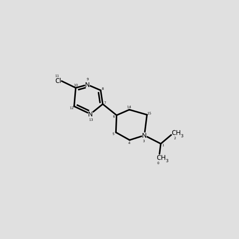 CC(C)N1CCC(c2cnc(Cl)cn2)CC1